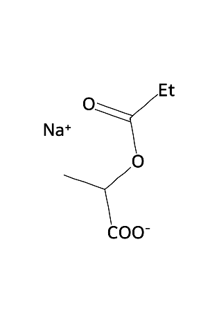 CCC(=O)OC(C)C(=O)[O-].[Na+]